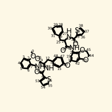 COc1ccccc1NC(=O)C(Cc1ccc(Oc2cc(NC(=O)C(Cc3ccccc3)NC(=O)c3cccs3)c3c(c2)OCCO3)cc1)NC(=O)c1cccs1